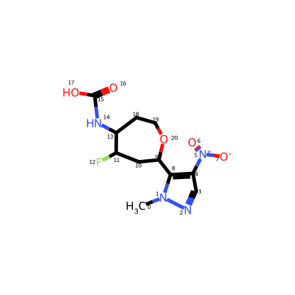 Cn1ncc([N+](=O)[O-])c1C1CC(F)C(NC(=O)O)CCO1